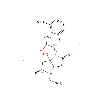 COC(=O)[C@H](Cc1cccc(OC)c1)N1C(=O)CC2[C@H](C[N+](=O)[O-])[C@@H](C)CC21O